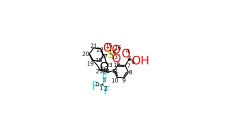 FC(F)F.O=C(O)c1cccc2c1OS(=O)(=O)C1C3CC4CC1CC2(C4)C3